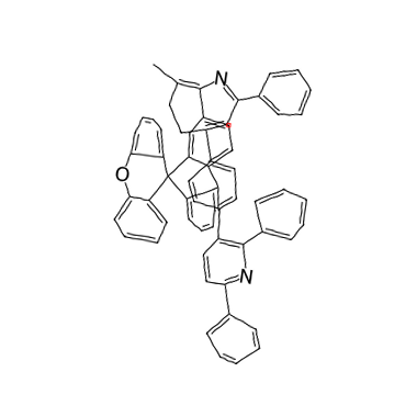 C\C1=C(c2ccc3c(c2)C2(c4ccccc4Oc4ccccc42)c2ccccc2-3)/N=C(c2ccccc2)\C=C(\c2ccc(-c3ccc(-c4ccccc4)nc3-c3ccccc3)cc2)CC1